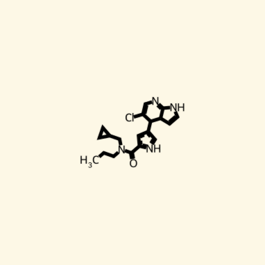 CCCN(CC1CC1)C(=O)c1cc(C2C(Cl)=CN=C3NC=CC32)c[nH]1